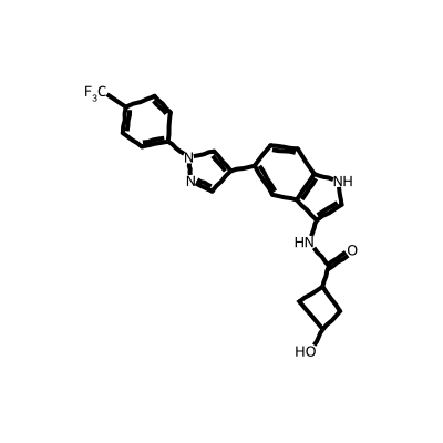 O=C(Nc1c[nH]c2ccc(-c3cnn(-c4ccc(C(F)(F)F)cc4)c3)cc12)C1CC(O)C1